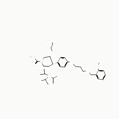 COc1ccccc1COCCCOc1ccc([C@@H]2[C@@H](OCCO)CN(C(=O)O)C[C@H]2O[Si](C(C)C)(C(C)C)C(C)C)cc1